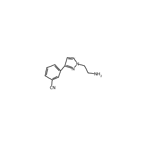 N#Cc1cccc(-c2c[c]n(CCN)n2)c1